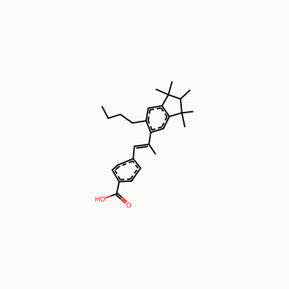 CCCCc1cc2c(cc1C(C)=Cc1ccc(C(=O)O)cc1)C(C)(C)C(C)C2(C)C